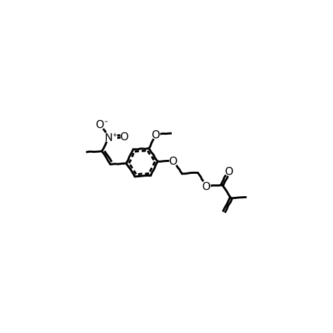 C=C(C)C(=O)OCCOc1ccc(/C=C(/C)[N+](=O)[O-])cc1OC